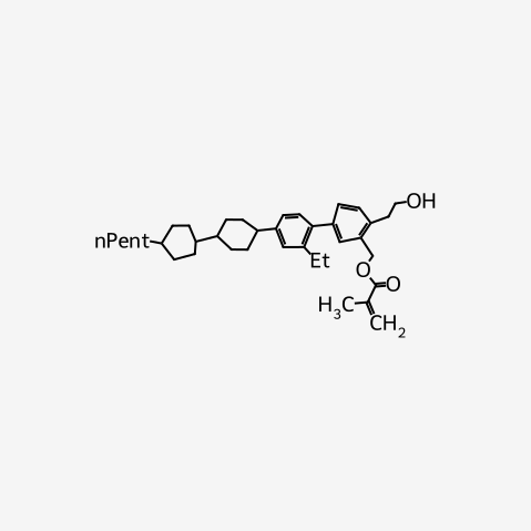 C=C(C)C(=O)OCc1cc(-c2ccc(C3CCC(C4CCC(CCCCC)CC4)CC3)cc2CC)ccc1CCO